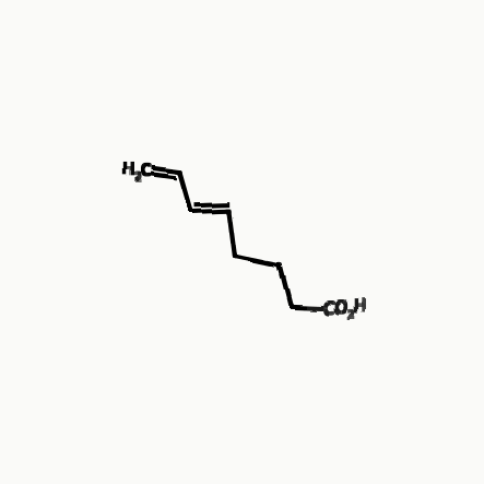 C=CC=CCCCC(=O)O